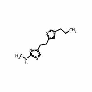 CCCc1csc(CCc2csc(NC)n2)c1